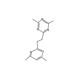 Cc1cc(C)nc(CCc2nc(C)nc(C)n2)c1